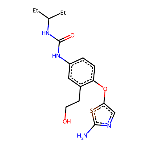 CCC(CC)NC(=O)Nc1ccc(Oc2cnc(N)s2)c(CCO)c1